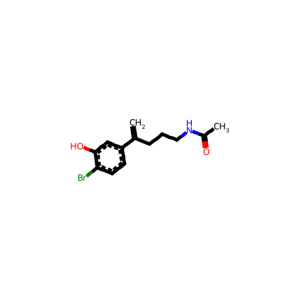 C=C(CCCNC(C)=O)c1ccc(Br)c(O)c1